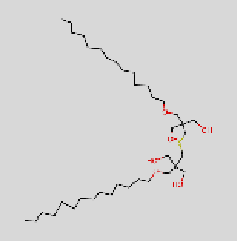 CCCCCCCCCCCCCCOCC(CO)(CO)CSCC(CO)(CO)COCCCCCCCCCCCCCC